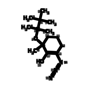 CC1(O[Si](C)(C)C(C)(C)C)CCCC(N=[N+]=[N-])=C1O